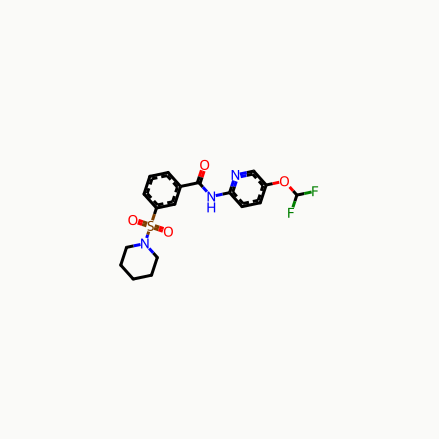 O=C(Nc1ccc(OC(F)F)cn1)c1cccc(S(=O)(=O)N2CCCCC2)c1